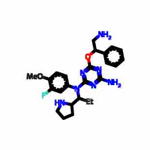 CCC(C1CCCN1)N(c1ccc(OC)c(F)c1)c1nc(N)nc(OC(CN)c2ccccc2)n1